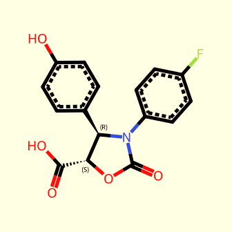 O=C(O)[C@H]1OC(=O)N(c2ccc(F)cc2)[C@@H]1c1ccc(O)cc1